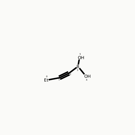 CCC#CB(O)O